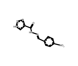 O=C(NN=Cc1ccc([N+](=O)[O-])cc1)c1c[nH]nn1